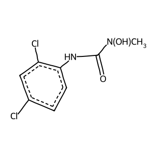 CN(O)C(=O)Nc1ccc(Cl)cc1Cl